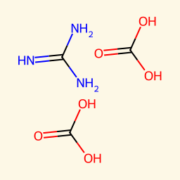 N=C(N)N.O=C(O)O.O=C(O)O